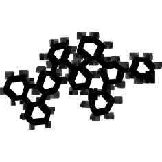 C1=CC2c3ccccc3-c3ccc(-c4ccccc4-c4ccccc4-c4ccccc4-c4cc(-c5cccnc5)cc(-c5ccccn5)c4)cc3C2C=C1